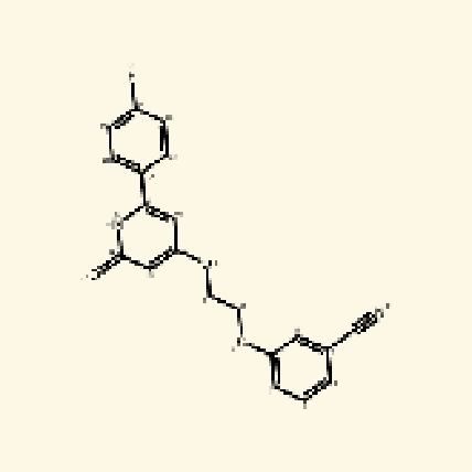 N#Cc1cccc(OCCOc2cc(-c3ccc(F)cc3)[nH]c(=O)c2)c1